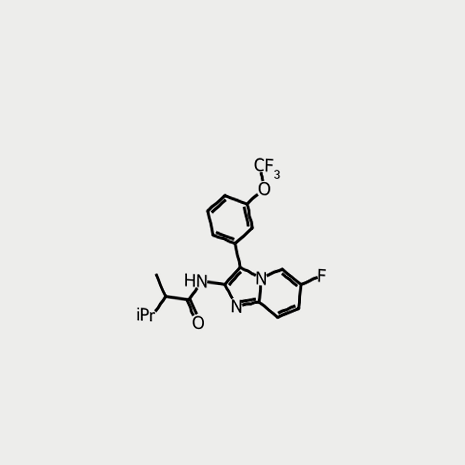 CC(C)C(C)C(=O)Nc1nc2ccc(F)cn2c1-c1cccc(OC(F)(F)F)c1